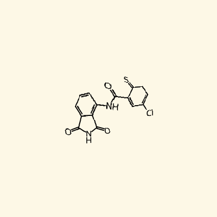 O=C(Nc1cccc2c1C(=O)NC2=O)C1=CC(Cl)=CCC1=S